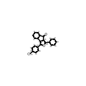 O=C1c2ccccc2-c2c(-c3ccc(Cl)cc3)oc(-c3ccccc3)c21